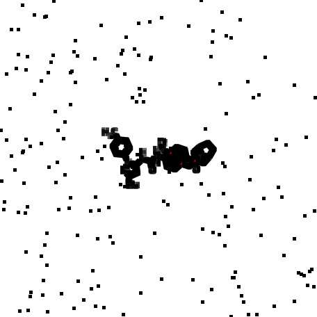 CCNc1ccc(C(=O)N2C3CCC2CC(Cc2ccc(NC(=O)Nc4cc(C(C)(C)C)nn4-c4ccc(C)cc4)cc2)C3)cc1